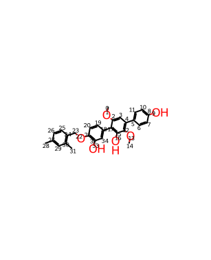 COc1cc(-c2ccc(O)cc2)c(OC)c(O)c1-c1ccc(OCc2ccc(C)cc2C)c(O)c1